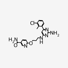 Cc1c(Cl)cccc1-c1cc(NCCCOc2ccc(C(N)=O)cn2)nc(N)n1